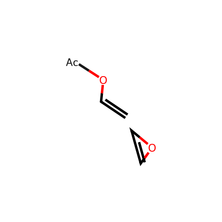 C1=CO1.C=COC(C)=O